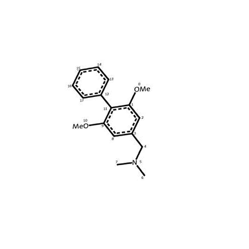 COc1cc(CN(C)C)cc(OC)c1-c1cc[c]cc1